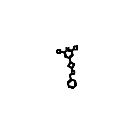 Clc1cc(C2CC(OCc3ccccc3)C2)cc(Cl)n1